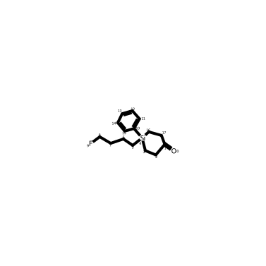 O=C1CC[Si](CCCCF)(c2ccccc2)CC1